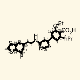 CCCc1cc(-c2cc(NCCc3cc(F)c4sccc4c3)ncn2)cc(OCC)c1C(=O)O